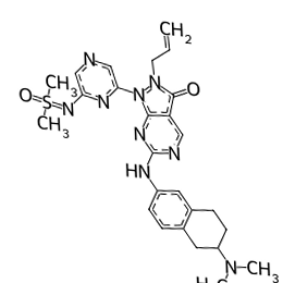 C=CCn1c(=O)c2cnc(Nc3ccc4c(c3)CCC(N(C)C)C4)nc2n1-c1cncc(N=S(C)(C)=O)n1